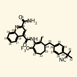 CC1=C(NC(=O)c2cc(C(N)=O)nc3ccccc23)C(C(F)(F)F)=CCCC1Cc1ccc(C(C)(C)C#N)cc1